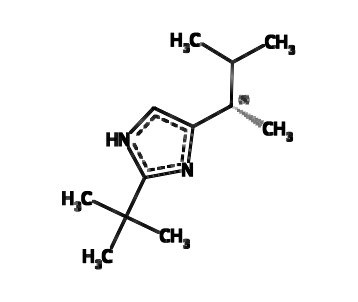 CC(C)[C@H](C)c1c[nH]c(C(C)(C)C)n1